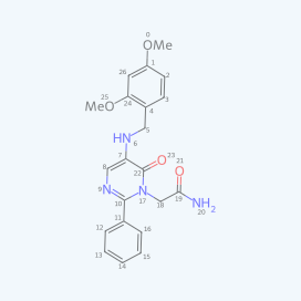 COc1ccc(CNc2cnc(-c3ccccc3)n(CC(N)=O)c2=O)c(OC)c1